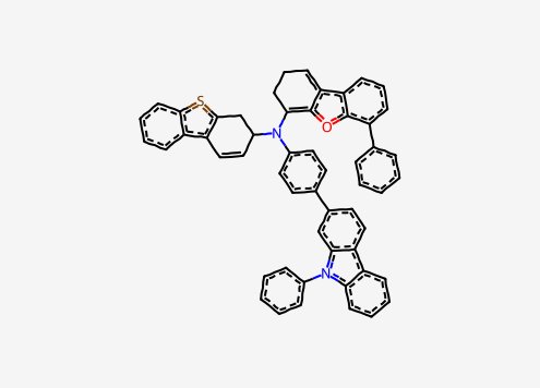 C1=CC(N(C2=c3oc4c(-c5ccccc5)cccc4c3=CCC2)c2ccc(-c3ccc4c5ccccc5n(-c5ccccc5)c4c3)cc2)Cc2sc3ccccc3c21